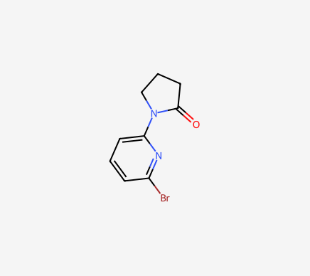 O=C1CCCN1c1cccc(Br)n1